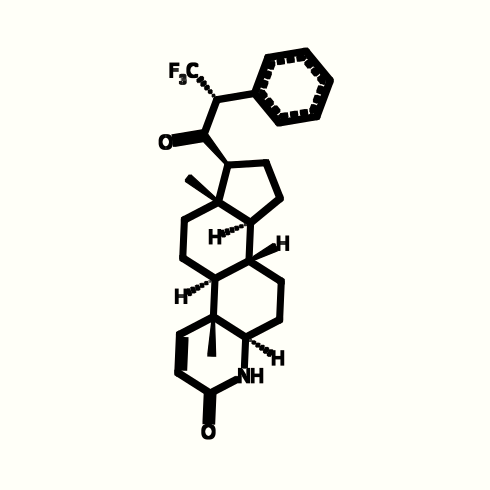 C[C@]12C=CC(=O)N[C@@H]1CC[C@@H]1[C@@H]2CC[C@]2(C)[C@@H](C(=O)[C@@H](c3ccccc3)C(F)(F)F)CC[C@@H]12